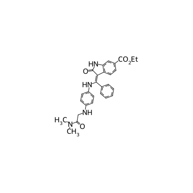 CCOC(=O)c1ccc2c(c1)NC(=O)/C2=C(\Nc1ccc(NCC(=O)N(C)C)cc1)c1ccccc1